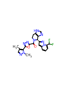 Cc1cnn(C)c1-c1nnc(C(=O)N2CCc3[nH]cnc3[C@H]2c2cc3cccc(C(F)F)n3n2)o1